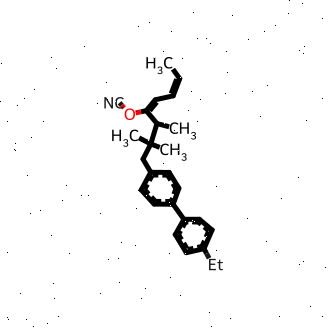 C/C=C\C=C(\OC#N)C(C)C(C)(C)Cc1ccc(-c2ccc(CC)cc2)cc1